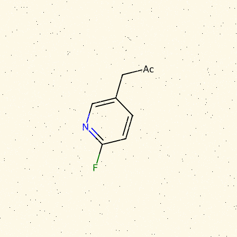 CC(=O)Cc1ccc(F)nc1